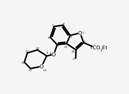 CCOC(=O)c1oc2cccc(OC3CCCCO3)c2c1C